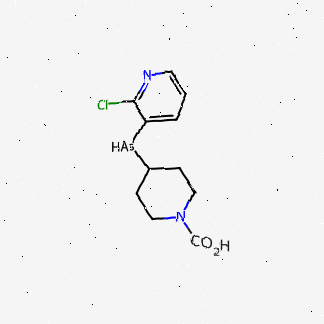 O=C(O)N1CCC([AsH]c2cccnc2Cl)CC1